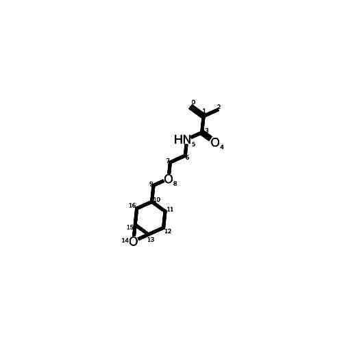 C=C(C)C(=O)NCCOCC1CCC2OC2C1